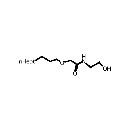 CCCCCCCCCCOCC(=O)NCCO